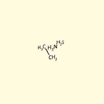 CC.N.S